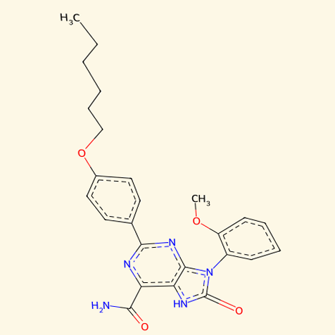 CCCCCCOc1ccc(-c2nc(C(N)=O)c3[nH]c(=O)n(-c4ccccc4OC)c3n2)cc1